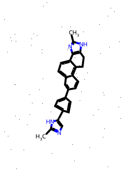 Cc1ncc(-c2ccc(-c3ccc4c5c(ccc4c3)-c3nc(C)[nH]c3CC5)cc2)[nH]1